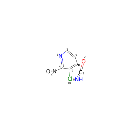 N=C=O.O=[N+]([O-])c1ncccc1Cl